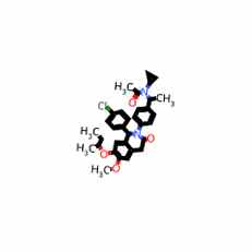 CCC(C)Oc1cc2c(cc1OC)CC(=O)N(c1ccc(C(C)N(C(C)=O)C3CC3)cc1)C2c1ccc(Cl)cc1